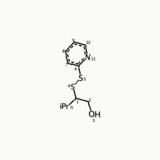 CC(C)C(CO)SSc1ccccn1